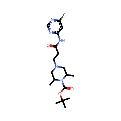 CC1CN(CCC(=O)Nc2cc(Cl)ncn2)CC(C)N1C(=O)OC(C)(C)C